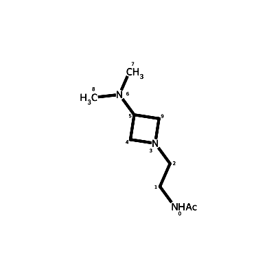 CC(=O)NCCN1CC(N(C)C)C1